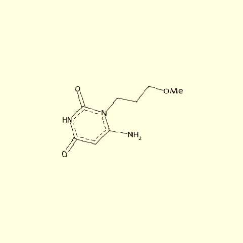 COCCCn1c(N)cc(=O)[nH]c1=O